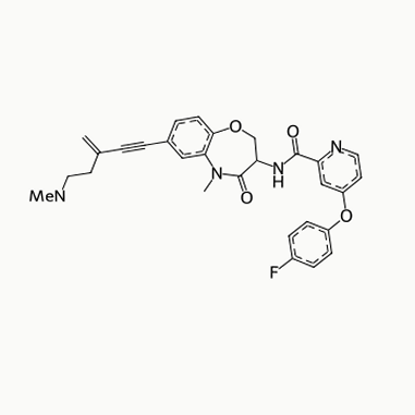 C=C(C#Cc1ccc2c(c1)N(C)C(=O)C(NC(=O)c1cc(Oc3ccc(F)cc3)ccn1)CO2)CCNC